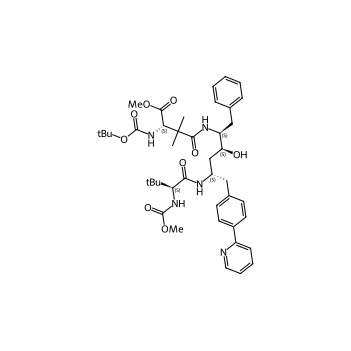 COC(=O)N[C@H](C(=O)N[C@@H](Cc1ccc(-c2ccccn2)cc1)C[C@H](O)[C@H](Cc1ccccc1)NC(=O)C(C)(C)[C@H](NC(=O)OC(C)(C)C)C(=O)OC)C(C)(C)C